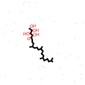 CC(C)CCCC(C)CCCC(C)CCCC(C)CCCC(=O)C(O)C(O)C(O)CO